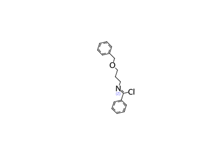 Cl/C(=N\CCCOCc1ccccc1)c1ccccc1